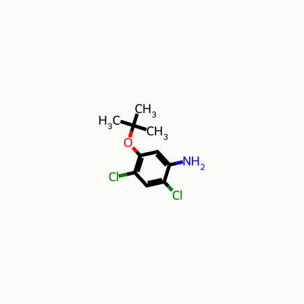 CC(C)(C)Oc1cc(N)c(Cl)cc1Cl